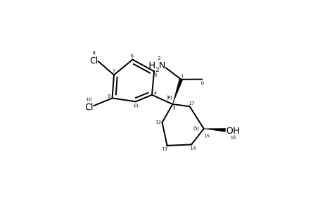 CC(N)[C@]1(c2ccc(Cl)c(Cl)c2)CCC[C@H](O)C1